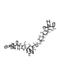 Cc1cc(-c2ncnn3cc(COCCN4CCC(c5ccc(C6CCC(=O)NC6=O)cc5)CC4)cc23)ccc1CNC(=O)c1noc(C(C)(C)C)n1